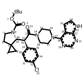 CC(C)(C)OC(=O)N1CCC2(CC2)[C@H]1[C@@H](C(=O)N1CCN(c2ncnc3[nH]ccc23)CC1)c1ccc(Cl)cc1